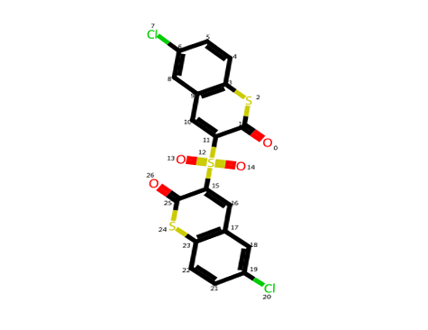 O=c1sc2ccc(Cl)cc2cc1S(=O)(=O)c1cc2cc(Cl)ccc2sc1=O